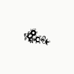 CC(C)(C)OC(=O)N1CCC(n2ncc(C(F)(F)F)c2-c2ccccc2F)CC1